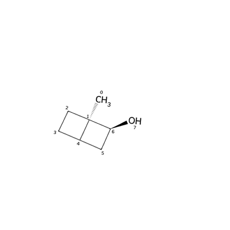 C[C@@]12CCC1C[C@@H]2O